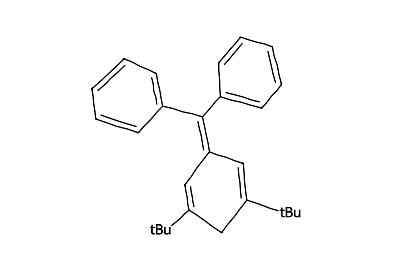 CC(C)(C)C1=CC(=C(c2ccccc2)c2ccccc2)C=C(C(C)(C)C)C1